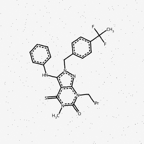 CC(C)Cn1c(=O)n(C)c(=S)c2c(Nc3ccccc3)n(Cc3ccc(C(C)(F)F)cc3)nc21